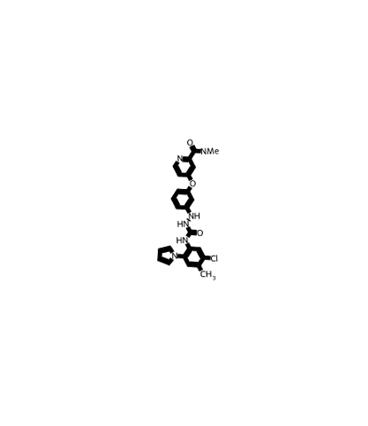 CNC(=O)c1cc(Oc2cccc(NNC(=O)Nc3cc(Cl)c(C)cc3-n3cccc3)c2)ccn1